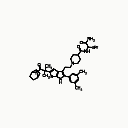 CCCC(NC(=O)C1CCN(CCc2c(-c3cc(C)cc(C)c3)[nH]c3sc(C(C)(C)C(=O)N4C5CCC4CC5)cc23)CC1)C(N)=O